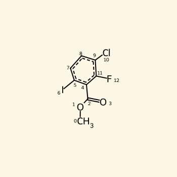 COC(=O)c1c(I)ccc(Cl)c1F